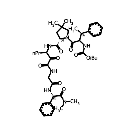 CCCC(NC(=O)[C@@H]1CC(C)(C)CN1C(=O)C(NC(=O)OCC(C)C)[C@@H](C)c1ccccc1)C(=O)C(=O)NCC(=O)N[C@H](C(=O)N(C)C)c1ccccc1